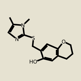 Cc1cnc(SCc2cc3c(cc2O)CCCO3)n1C